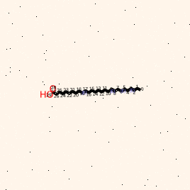 CC/C=C/C/C=C/C/C=C/CCCCCCC/C=C/CCCCCCCCC(=O)O